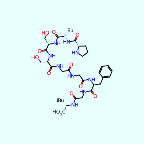 CC[C@H](C)[C@H](NC(=O)CNC(=O)[C@H](Cc1ccccc1)NC(=O)CNC(=O)CNC(=O)[C@H](CO)NC(=O)[C@H](CO)NC(=O)[C@@H](NC(=O)[C@@H]1CCCN1)[C@@H](C)CC)C(=O)O